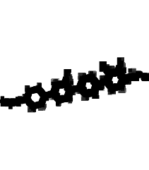 CCCCCCCC1CCC(c2ccc(-c3ccc(-c4ccc(CCCCC)c(F)c4F)cc3)c(F)c2)CC1